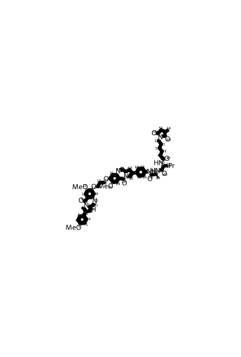 COc1ccc(C2=CN3C(=O)c4cc(OC)c(OCCCOc5cc6c(cc5OC)C(=O)N5C=C(c7ccc(NC(=O)[C@H](C)NC(=O)C(NC(=O)CCCCCN8C(=O)CC(C)C8=O)C(C)C)cc7)CC5C=N6)cc4N=C[C@@H]3C2)cc1